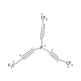 FC(F)(F)C#CP(C#CC(F)(F)F)C#CC(F)(F)F